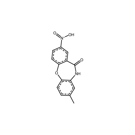 Cc1ccc2c(c1)NC(=O)c1cc([N+](=O)O)ccc1O2